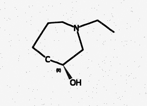 CCN1CCCC[C@@H](O)C1